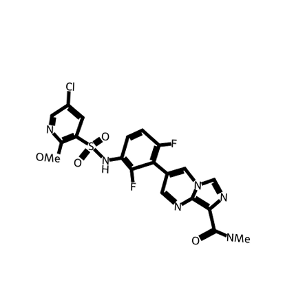 CNC(=O)c1ncn2cc(-c3c(F)ccc(NS(=O)(=O)c4cc(Cl)cnc4OC)c3F)cnc12